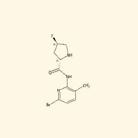 Cc1ccc(Br)nc1NC(=O)[C@@H]1C[C@@H](F)CN1